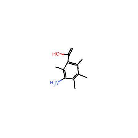 C=C(O)c1c(C)c(C)c(C)c(N)c1C